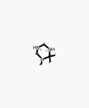 CN1CNCNC1(C)C